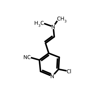 CN(C)/C=C/c1cc(Cl)ncc1C#N